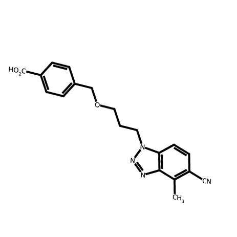 Cc1c(C#N)ccc2c1nnn2CCCOCc1ccc(C(=O)O)cc1